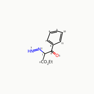 CCOC(=O)C(N=N)C(=O)c1ccccc1